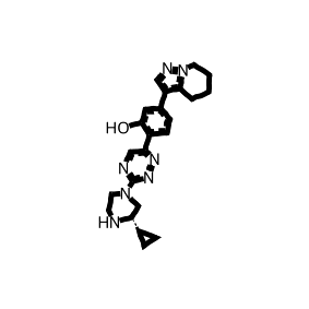 Oc1cc(-c2cnn3c2CCCC3)ccc1-c1cnc(N2CCN[C@@H](C3CC3)C2)nn1